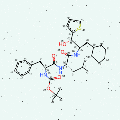 CC(C)C[C@H](NC(=O)[C@H](Cc1ccccc1)NC(=O)OC(C)(C)C)C(=O)N[C@H](CC1CCCCC1)[C@H](O)c1cccs1